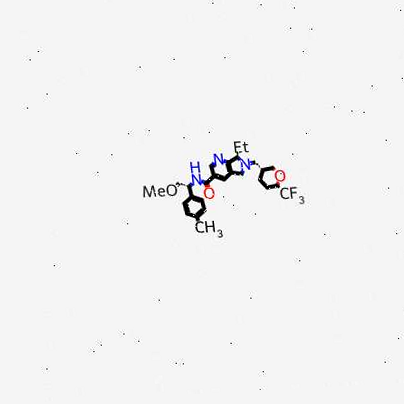 CC[C@H]1c2ncc(C(=O)N[C@@H](COC)c3ccc(C)cc3)cc2CN1C[C@H]1CC[C@H](C(F)(F)F)OC1